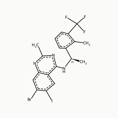 Cc1nc(N[C@H](C)c2cccc(C(F)(F)F)c2C)c2cc(I)c(Br)cc2n1